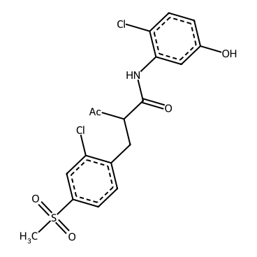 CC(=O)C(Cc1ccc(S(C)(=O)=O)cc1Cl)C(=O)Nc1cc(O)ccc1Cl